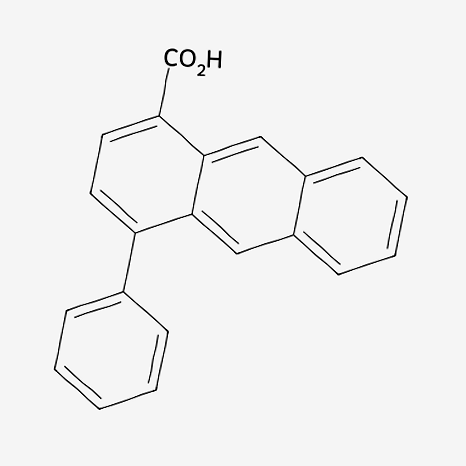 O=C(O)c1ccc(-c2ccccc2)c2cc3ccccc3cc12